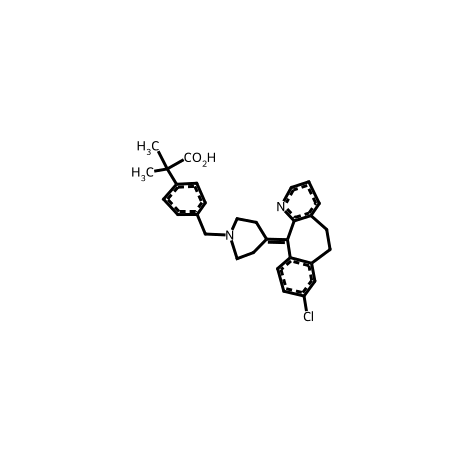 CC(C)(C(=O)O)c1ccc(CN2CCC(=C3c4ccc(Cl)cc4CCc4cccnc43)CC2)cc1